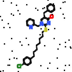 O=c1nc(SCCCCCCCCc2ccc(Cl)cc2)n(Cc2ccccn2)cc1Cc1ccccc1